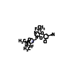 CNN=C(/C=C(\C=O)Cn1cnc(C(C)(F)F)c(Oc2cc(Cl)cc(C#N)c2)c1=O)C(C)(F)F